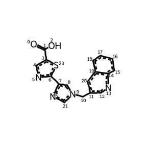 O=C(O)c1cnc(-c2cn(Cc3cnc4ccccc4c3)cn2)s1